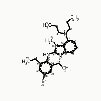 CCCN(CCC)c1cccc2nc(Nc3c(CC)cc(Br)cc3CC)n(C)c12